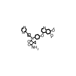 COc1cc2nccc(Oc3ccc(N(C(=O)C4(C(N)=O)CC4)C45CC(c6cnccn6)(C4)C5)cc3)c2cc1OC